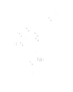 Cc1cc(-c2nn([C@H]3CC[C@H](N4CCOCC4)CC3)c3ncnc(N)c23)cc2[nH]c(Cc3ccccc3)nc12